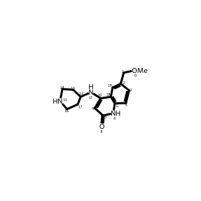 COCc1ccc2[nH]c(=O)cc(NC3CCNCC3)c2c1